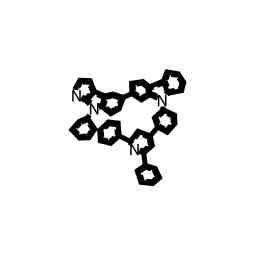 c1ccc(-c2cc(-c3cccc(-n4c5ccccc5c5ccc(-c6ccc7c(c6)c6cccnc6n7-c6ccccc6)cc54)c3)cc(-c3ccccc3)n2)cc1